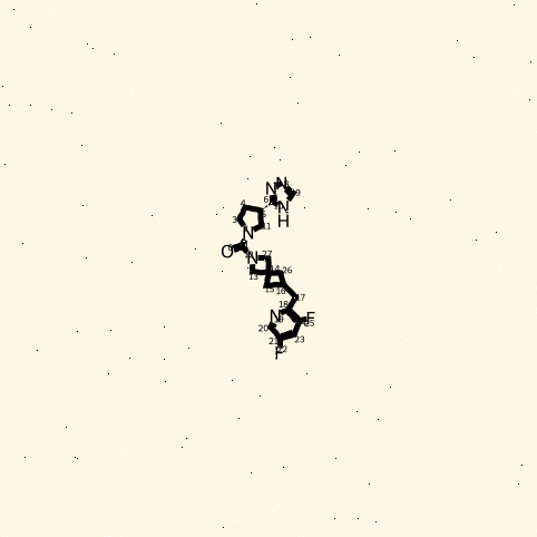 O=C(N1CC[C@H](c2nnc[nH]2)C1)N1CC2(CC(Cc3ncc(F)cc3F)C2)C1